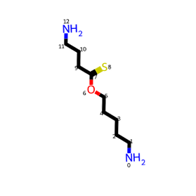 NCCCCCOC(=S)CCCN